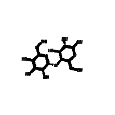 OCC1O[C@H](O[C@@H]2C(CO)OC(O)[C@@H](O)C2O)[C@@H](O)C(O)[C@H]1O